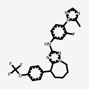 Cc1ncnn1-c1ccc(Nc2nc3n(n2)CCCCC3c2ccc(OC(F)(F)F)cc2)cc1F